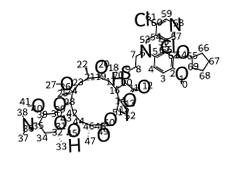 COc1ccc(N(CCSC2C(=O)O[C@@]3(C)[C@H]2[C@@H](C)C(=O)[C@H](C)C[C@@](C)(OC)[C@H](O[C@@H]2O[C@H](C)C[C@H](N(C)C)[C@H]2OC)[C@@H](C)[C@H](O)[C@@H](C)C(=O)O[C@@H]3I)Cc2c(Cl)cncc2Cl)cc1OC1CCCC1